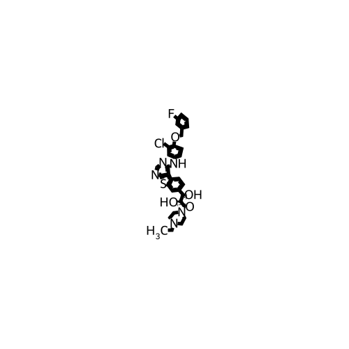 CCN1CCN(C(=O)[C@@H](O)[C@H](O)c2ccc3c(c2)sc2ncnc(Nc4ccc(OCc5cccc(F)c5)c(Cl)c4)c23)CC1